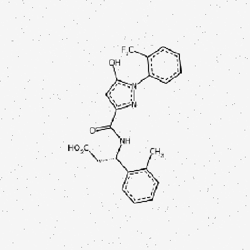 Cc1ccccc1[C@H](CC(=O)O)NC(=O)c1cc(O)n(-c2ccccc2C(F)(F)F)n1